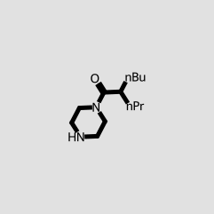 CCCCC(CCC)C(=O)N1CCNCC1